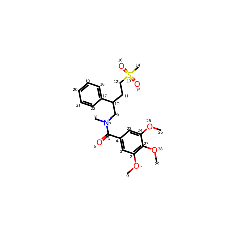 COc1cc(C(=O)N(C)CC(CCS(C)(=O)=O)c2ccccc2)cc(OC)c1OC